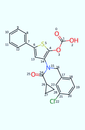 O=C(O)Oc1sc(-c2ccccc2)cc1N(Cc1cccc(Cl)c1)C(=O)C1CC1